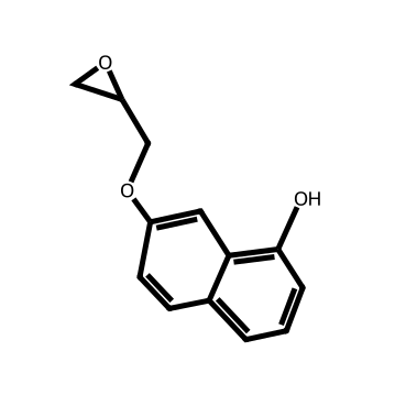 Oc1cccc2ccc(OCC3CO3)cc12